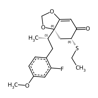 CCS[C@@H]1C[C@]2([C@@H](C)Cc3ccc(OC)cc3F)OCOC2=CC1=O